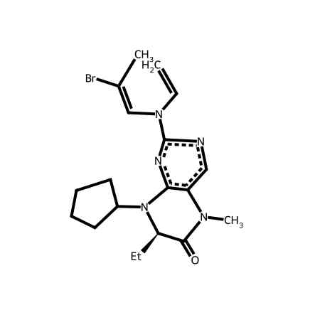 C=CN(/C=C(\C)Br)c1ncc2c(n1)N(C1CCCC1)[C@H](CC)C(=O)N2C